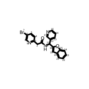 O=C(Cc1ccc(Br)cn1)NC(c1cccnc1)c1cc2ccccc2o1